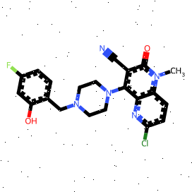 Cn1c(=O)c(C#N)c(N2CCN(Cc3ccc(F)cc3O)CC2)c2nc(Cl)ccc21